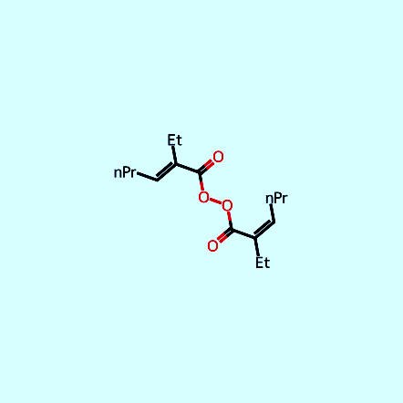 CCCC=C(CC)C(=O)OOC(=O)C(=CCCC)CC